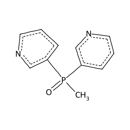 CP(=O)(c1cccnc1)c1cccnc1